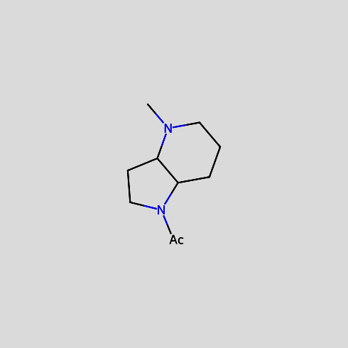 CC(=O)N1CCC2C1CCCN2C